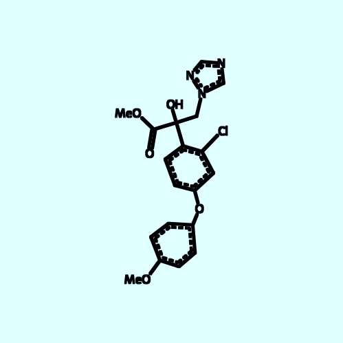 COC(=O)C(O)(Cn1cncn1)c1ccc(Oc2ccc(OC)cc2)cc1Cl